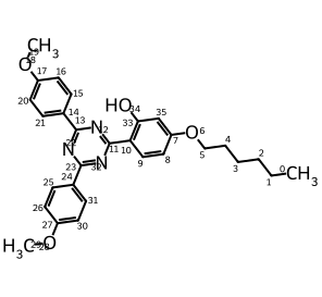 CCCCCCOc1ccc(-c2nc(-c3ccc(OC)cc3)nc(-c3ccc(OC)cc3)n2)c(O)c1